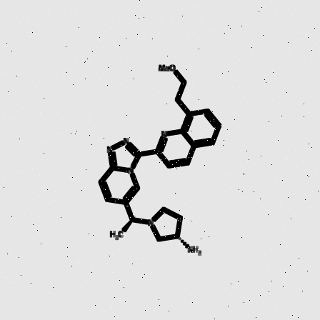 COCCc1cccc2ccc(-c3nnc4ccc([C@H](C)N5CC[C@H](N)C5)cn34)nc12